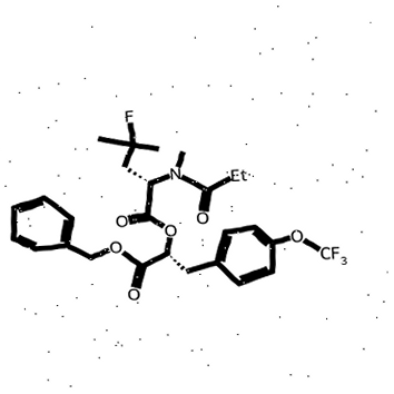 C[CH]C(=O)N(C)[C@@H](CC(C)(C)F)C(=O)O[C@H](Cc1ccc(OC(F)(F)F)cc1)C(=O)OCc1ccccc1